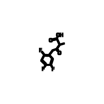 CC(C(=O)O)C(=O)Cc1cc(F)c(F)cc1F